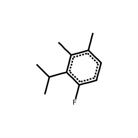 Cc1ccc(F)c(C(C)C)c1C